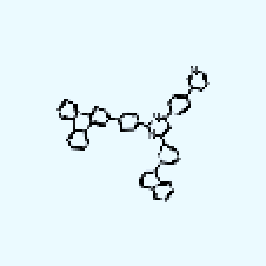 C1=CC(c2cccc3ccccc23)CC(c2cc(C3C=CC(c4cccnc4)=CC3)nc(-c3ccc(-c4ccc5c6ccccc6c6ccccc6c5c4)cc3)n2)=C1